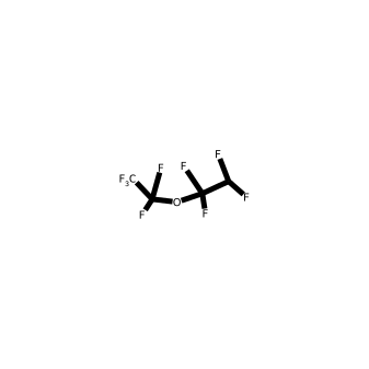 F[C](F)C(F)(F)OC(F)(F)C(F)(F)F